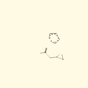 O=C(O)CC1CO1.c1ccoc1